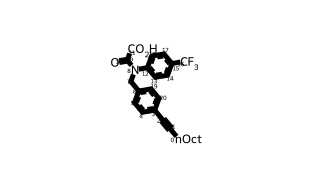 CCCCCCCCC#Cc1ccc(CN(C(=O)C(=O)O)c2ccc(C(F)(F)F)cc2)cc1